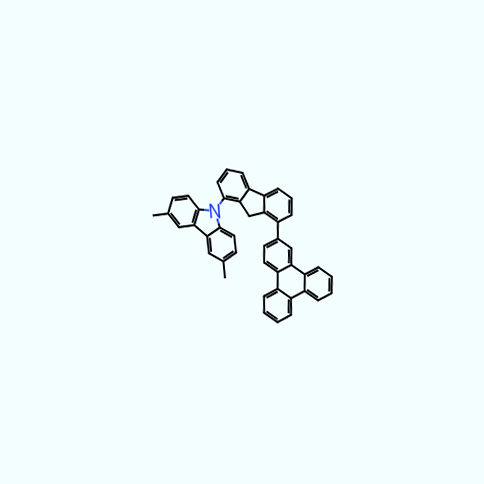 Cc1ccc2c(c1)c1cc(C)ccc1n2-c1cccc2c1Cc1c(-c3ccc4c5ccccc5c5ccccc5c4c3)cccc1-2